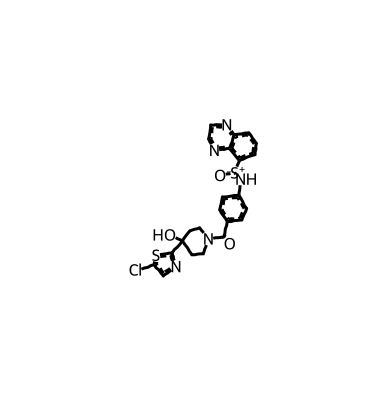 O=C(c1ccc(N[S+]([O-])c2cccc3nccnc23)cc1)N1CCC(O)(c2ncc(Cl)s2)CC1